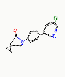 O=C1CC2(CC2)CN1c1ccc(-c2cncc(Br)c2)cc1